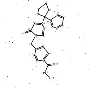 O=C(NO)c1ccc(Cn2ccc(C3(c4ccccn4)CCCO3)cc2=O)cc1